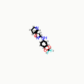 FC1(F)Oc2ccc(NC3=NO[C@@]4(C3)CN3CCC4CC3)cc2O1